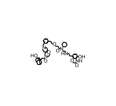 O=C1COc2c(CCNCCN(C(=O)CCOCCc3cccc(CN4CCC5(CC4)CN(C(=O)CC46CC7CC(CC(O)(C7)C4)C6)CCO5)c3)C3CCCCC3)ccc(O)c2N1